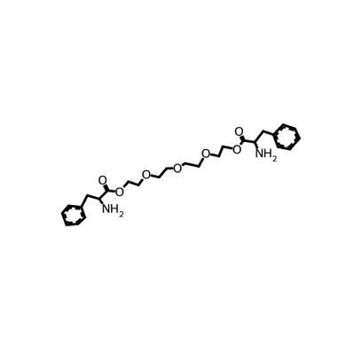 NC(Cc1ccccc1)C(=O)OCCOCCOCCOCCOC(=O)C(N)Cc1ccccc1